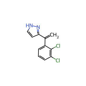 C=C(c1cc[nH]n1)c1cccc(Cl)c1Cl